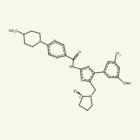 CC[C@@H]1CCCN1Cc1sc(NC(=O)c2cnc(N3CCC(C(=O)O)CC3)cn2)nc1-c1cc(OC)cc(C(F)(F)F)c1